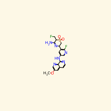 COc1cnc2c(Nc3cnc(F)c(C4CS(=O)(=O)C(CF)C(N)=N4)c3)nccc2c1